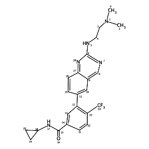 CN(C)CCNc1ncc2cc(-c3cc(C(=O)NC4CC4)ccc3C(F)(F)F)ccc2n1